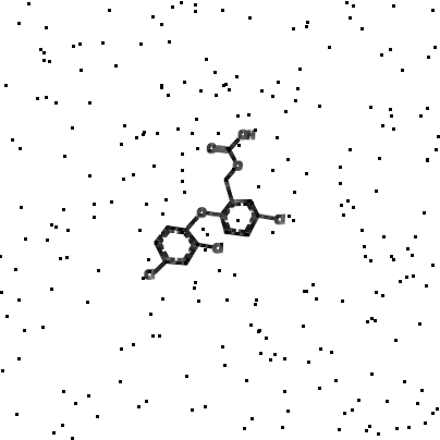 O=C(O)OCc1cc(Cl)ccc1Oc1ccc(Cl)cc1Cl